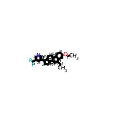 CCOC1=CC2=C(CC)C[C@@H]3[C@H](CC[C@]4(C)C(c5cncc(C(F)F)c5)=CC[C@@H]34)[C@@]2(C)CC1